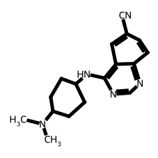 CN(C)C1CCC(Nc2ncnc3ccc(C#N)cc23)CC1